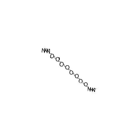 [N-]=[N+]=NCCOCCOCCOCCOCCOCCOCCOCCOCCN=[N+]=[N-]